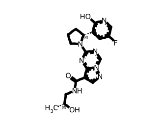 C[C@@H](O)CNC(=O)c1cnn2cnc(N3CCC[C@@H]3c3cc(F)cnc3O)nc12